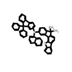 CC1(C)c2ccc(N(c3ccc4c(c3)C(c3ccccc3)(c3ccccc3)c3ccccc3-4)c3cccc4ccccc34)cc2-c2c1ccc1c2sc2ccccc21